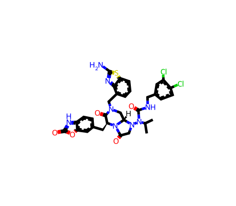 CC(C)N(C(=O)NCc1ccc(Cl)c(Cl)c1)N1CC(=O)N2[C@@H](Cc3ccc4[nH]c(=O)oc4c3)C(=O)N(Cc3cccc4sc(N)nc34)C[C@@H]21